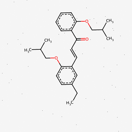 CCc1ccc(OCC(C)C)c(/C=C/C(=O)c2ccccc2OCC(C)C)c1